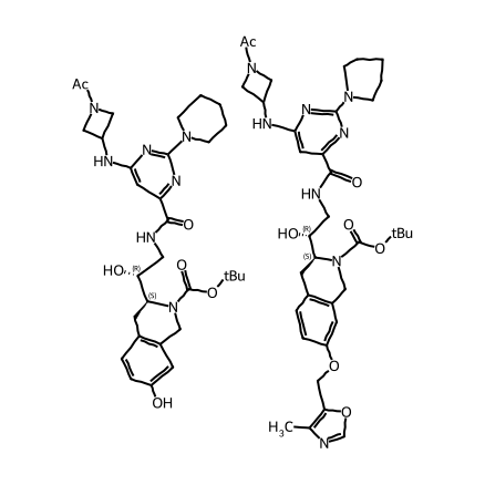 CC(=O)N1CC(Nc2cc(C(=O)NC[C@@H](O)[C@@H]3Cc4ccc(O)cc4CN3C(=O)OC(C)(C)C)nc(N3CCCCC3)n2)C1.CC(=O)N1CC(Nc2cc(C(=O)NC[C@@H](O)[C@@H]3Cc4ccc(OCc5ocnc5C)cc4CN3C(=O)OC(C)(C)C)nc(N3CCCCC3)n2)C1